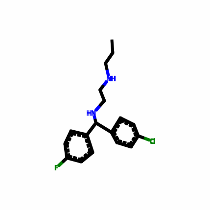 CCCNCCNC(c1ccc(F)cc1)c1ccc(Cl)cc1